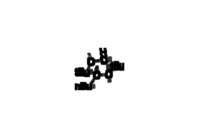 CC(C)(C)OO.CCCCOOC(C)(C)C